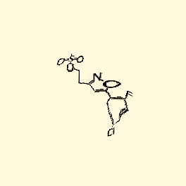 CS(=O)(=O)OCCc1cc(-c2cc(Cl)ccc2F)on1